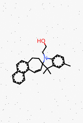 Cc1ccc2c(c1)C(C)(C)C1(C=Cc3c(ccc4ccccc34)CC1)N2CCO